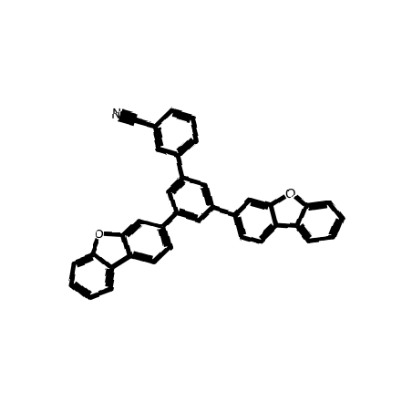 N#Cc1cccc(-c2cc(-c3ccc4c(c3)oc3ccccc34)cc(-c3ccc4c(c3)oc3ccccc34)c2)c1